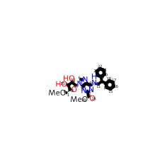 COC[C@H]1O[C@@H](n2cnc3c(NCC(c4ccccc4)c4ccccc4)nc(C(=O)OC)nc32)[C@H](O)[C@@H]1O